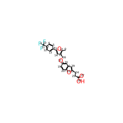 Cc1oc(-c2ccc(C(F)(F)F)cc2)cc1COc1ccc2oc(CCC(=O)O)cc2c1